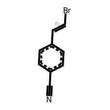 N#Cc1ccc(/C=C/Br)cc1